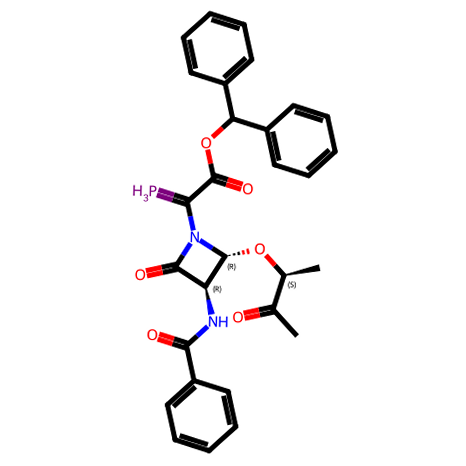 CC(=O)[C@H](C)O[C@@H]1[C@@H](NC(=O)c2ccccc2)C(=O)N1C(=[PH3])C(=O)OC(c1ccccc1)c1ccccc1